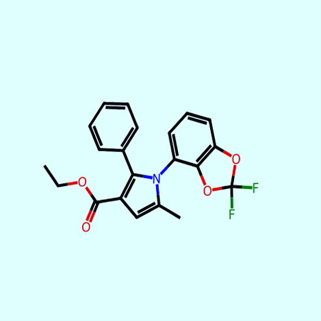 CCOC(=O)c1cc(C)n(-c2cccc3c2OC(F)(F)O3)c1-c1ccccc1